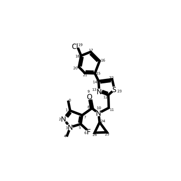 Cc1nn(C)c(F)c1C(=O)N(Cc1nc(-c2ccc(Cl)cc2)cs1)C1CC1